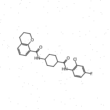 O=C(NC1CCC(C(=O)Nc2ccc(F)cc2Cl)CC1)c1cccc2c1OCCC2